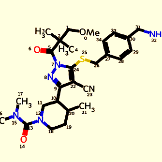 COCC(C)(C)C(=O)n1nc(C2CN(C(=O)N(C)C)CCC2C)c(C#N)c1SCc1ccc(CN)cc1